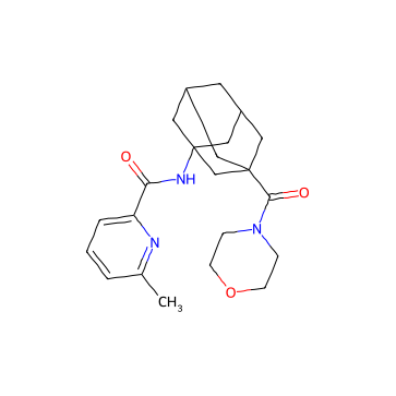 Cc1cccc(C(=O)NC23CC4CC(C2)CC(C(=O)N2CCOCC2)(C4)C3)n1